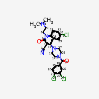 CN(C)CCn1c(=O)c(C#N)c(N2CCN(C(=O)c3ccc(Cl)c(Cl)c3)CC2)c2cc(Cl)ccc21